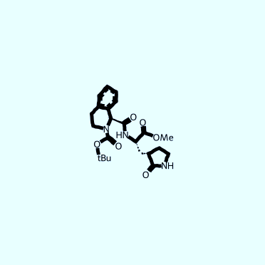 COC(=O)[C@H](C[C@@H]1CCNC1=O)NC(=O)[C@@H]1c2ccccc2CCN1C(=O)OC(C)(C)C